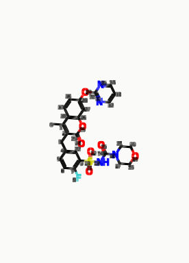 Cc1c(Cc2ccc(F)c(S(=O)(=O)NC(=O)N3CCOCC3)c2)c(=O)oc2cc(Oc3ncccn3)ccc12